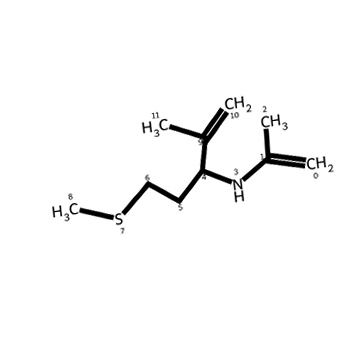 C=C(C)NC(CCSC)C(=C)C